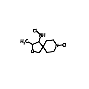 CC1OCC2(CCN(Cl)CC2)C1NCl